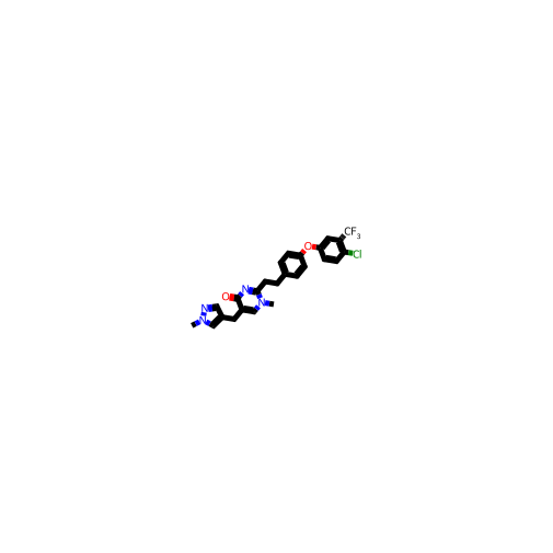 Cn1cc(Cc2cn(C)c(CCc3ccc(Oc4ccc(Cl)c(C(F)(F)F)c4)cc3)nc2=O)cn1